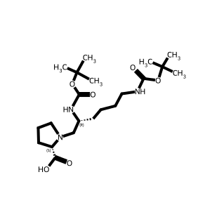 CC(C)(C)OC(=O)NCCCC[C@H](CN1CCC[C@H]1C(=O)O)NC(=O)OC(C)(C)C